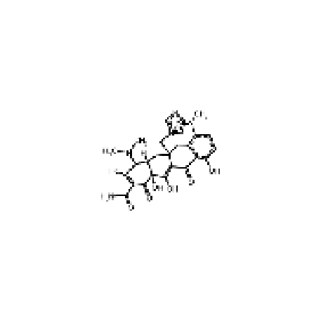 CN(C)c1ccc(O)c2c1C[C@@]1(Cn3ccnc3)C[C@H]3[C@H](N(C)C)C(O)=C(C(N)=O)C(=O)[C@@]3(O)C(O)=C1C2=O